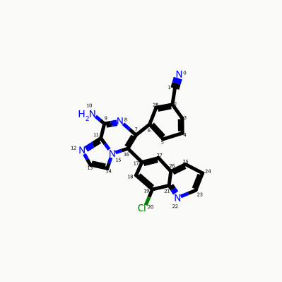 N#Cc1cccc(-c2nc(N)c3nccn3c2-c2cc(Cl)c3ncccc3c2)c1